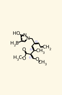 Bc1cn(CC(=C/C=C)/C=C(C)/C(=C\OC)C(=O)OC)nc1O